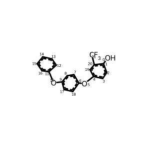 Oc1ccc(Oc2ccc(Oc3ccccc3)cc2)cc1C(F)(F)F